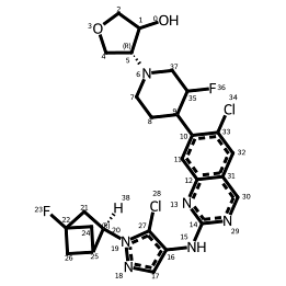 OC1COC[C@H]1N1CCC(c2cc3nc(Nc4cnn([C@@H]5CC6(F)CC5C6)c4Cl)ncc3cc2Cl)C(F)C1